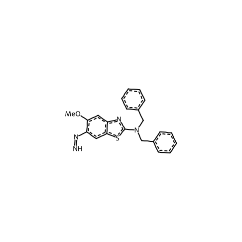 COc1cc2nc(N(Cc3ccccc3)Cc3ccccc3)sc2cc1N=N